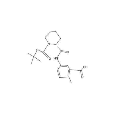 Cc1ccc(NC(=O)[C@H]2CCCCN2C(=O)OC(C)(C)C)cc1C(=O)O